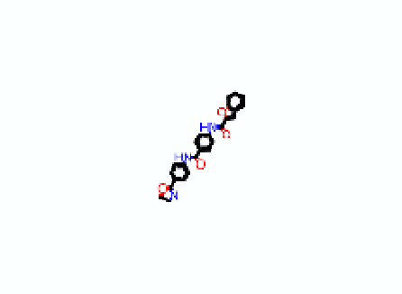 O=C(Nc1ccc(C2=NCCO2)cc1)c1ccc(NC(=O)c2cc3ccccc3o2)cc1